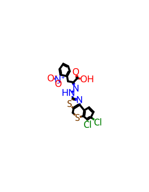 O=C(O)/C(Cc1ccccc1[N+](=O)[O-])=N/Nc1nc2c(s1)CSc1c-2ccc(Cl)c1Cl